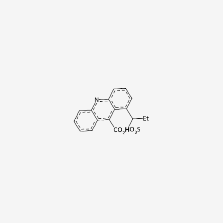 CCC(c1cccc2nc3ccccc3c(C(=O)O)c12)S(=O)(=O)O